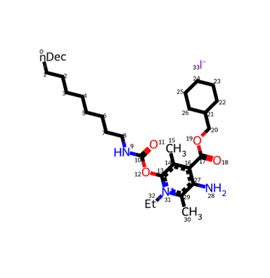 CCCCCCCCCCCCCCCCCCNC(=O)Oc1c(C)c(C(=O)OCC2CCCCC2)c(N)c(C)[n+]1CC.[I-]